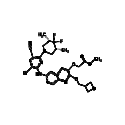 COC(=O)COc1cc2cc(Nc3nc(N4C[C@@H](C)C(F)(F)[C@@H](C)C4)c(C#N)cc3Cl)ccc2nc1OCC1COC1